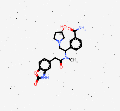 CN(C(=O)Cc1ccc2oc(=O)[nH]c2c1)C(CN1CC[C@@H](O)C1)c1cccc(C(N)=O)c1